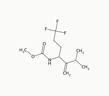 C=C(C(C)C)C(CCC(F)(F)F)NC(=O)OC